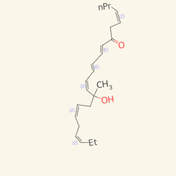 CC/C=C\C/C=C\CC(C)(O)\C=C/C=C/C=C/C(=O)C/C=C\CCC